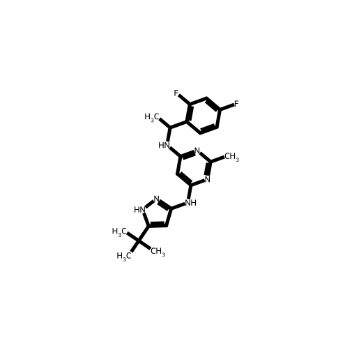 Cc1nc(Nc2cc(C(C)(C)C)[nH]n2)cc(NC(C)c2ccc(F)cc2F)n1